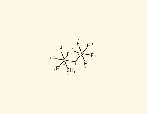 CS(F)(F)(F)(F)CS(F)(F)(F)(F)F